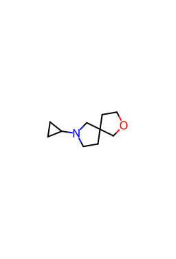 C1CC2(CCN(C3CC3)C2)CO1